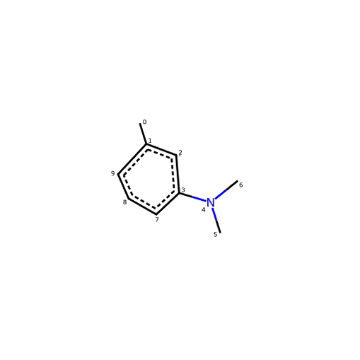 Cc1[c]c(N(C)C)ccc1